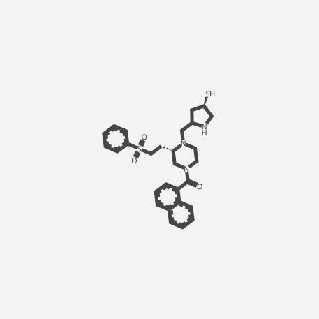 O=C(c1cccc2ccccc12)N1CCN(CC2C[C@@H](S)CN2)[C@@H](CCS(=O)(=O)c2ccccc2)C1